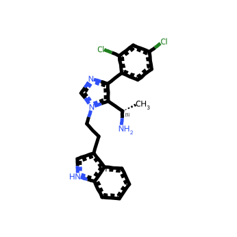 C[C@H](N)c1c(-c2ccc(Cl)cc2Cl)ncn1CCc1c[nH]c2ccccc12